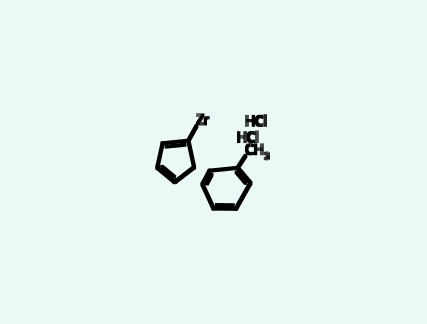 Cc1ccccc1.Cl.Cl.[Zr][C]1=CC=CC1